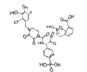 O=C(O)c1cccc2c1OB(O)[C@@H](NC(=O)C(NC(=O)N1CCN(Cc3cc(F)c(O)c(O)c3Cl)C(=O)C1=O)c1ccc(P(=O)(O)O)cc1)C2